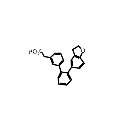 O=C(O)Cc1cccc(-c2ccccc2-c2ccc3c(c2)CCO3)c1